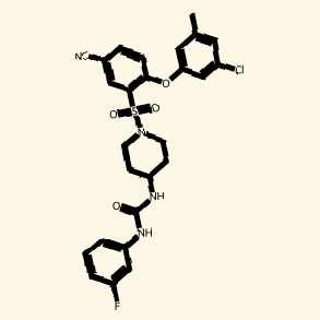 Cc1cc(Cl)cc(Oc2ccc(C#N)cc2S(=O)(=O)N2CCC(NC(=O)Nc3cccc(F)c3)CC2)c1